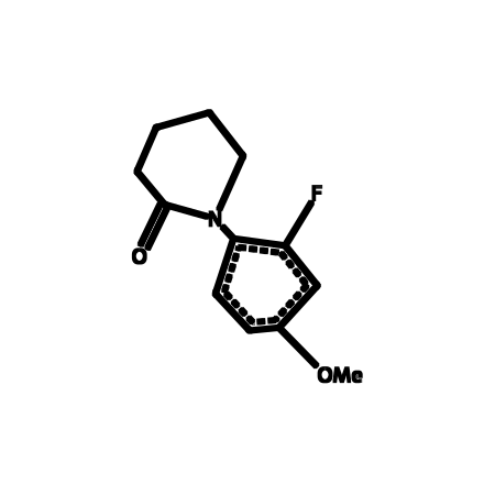 COc1ccc(N2CCCCC2=O)c(F)c1